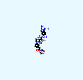 N=C1NCc2cc(NC(=O)[C@H](O)[C@H]3OCCN(c4cccc(CC(=O)N5CCOCC5)c4)C3=O)ccc21